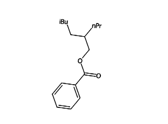 CCCC(COC(=O)c1ccccc1)CC(C)CC